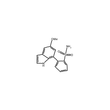 COc1cc(-c2ccccc2S(N)(=O)=O)c2[nH]ccc2c1